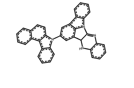 c1ccc2c(c1)N=C1C(N2)c2cc(-n3c4ccccc4c4c5ccccc5ccc43)cc3c4ccccc4n1c23